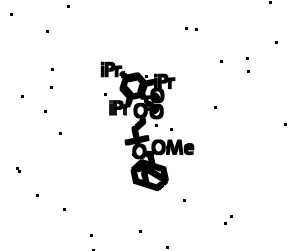 COC(OC(C)(C)CCOS(=O)(=O)c1c(C(C)C)cc(C(C)C)cc1C(C)C)C12CC3CC(CC(C3)C1)C2